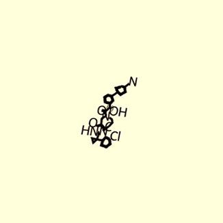 N#Cc1ccc(-c2cccc([C@@H](O)C(=O)N3CCCc4nc(C5(c6cccc(Cl)c6)CC5)[nH]c(=O)c4C3)c2)cc1